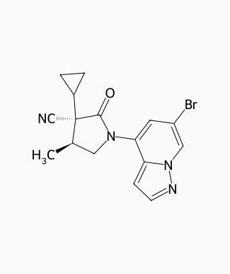 C[C@@H]1CN(c2cc(Br)cn3nccc23)C(=O)[C@]1(C#N)C1CC1